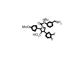 CCCCN(C(=O)N1CC(c2ccc(F)c(F)c2)C(C(=O)O)C1c1ccc(OC)cc1)c1cccc(CN)c1